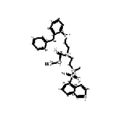 CN(CCN(CCOc1ccccc1Cc1ccccc1)C(=O)OC(C)(C)C)S(=O)(=O)c1cccc2cnccc12